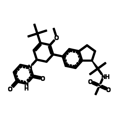 COC1=C(c2ccc3c(c2)CC[C@H]3C(C)(C)NS(C)(=O)=O)CC(n2ccc(=O)[nH]c2=O)C=C1C(C)(C)C